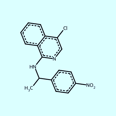 CC(Nc1ncc(Cl)c2ccccc12)c1ccc([N+](=O)[O-])cc1